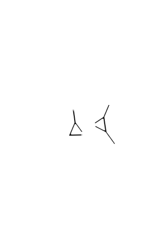 CC1OC1C.CCC1CO1